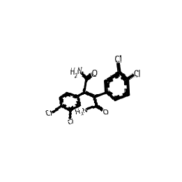 NC(=O)C(=C(C(N)=O)c1ccc(Cl)c(Cl)c1)c1ccc(Cl)c(Cl)c1